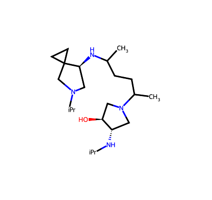 CC(C)N[C@H]1CN(C(C)CCC(C)N[C@H]2CN(C(C)C)CC23CC3)C[C@@H]1O